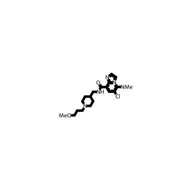 CNc1c(Cl)cc(C(=O)NCC2CCN(CCCOC)CC2)c2nccn12